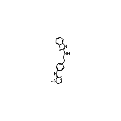 CN1CCS/C1=N\c1ccc(CCNc2nc3ccccc3s2)cc1